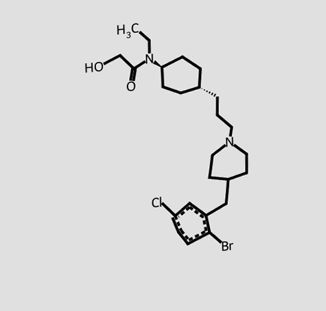 CCN(C(=O)CO)[C@H]1CC[C@H](CCCN2CCC(Cc3cc(Cl)ccc3Br)CC2)CC1